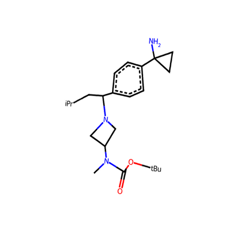 CC(C)CC(c1ccc(C2(N)CC2)cc1)N1CC(N(C)C(=O)OC(C)(C)C)C1